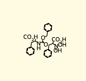 O=C(NC(Cc1ccccc1)C(=O)O)OCc1ccccc1.O=C(O)C(Cc1ccccc1)N(O)O